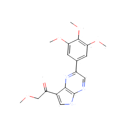 COCC(=O)c1c[nH]c2ncc(-c3cc(OC)c(OC)c(OC)c3)nc12